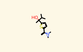 C=C(c1ccc(C(C)(O)C(C)C)s1)N(C)C